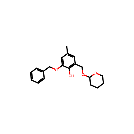 Cc1cc(COC2CCCCO2)c(O)c(OCc2ccccc2)c1